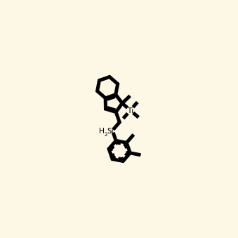 Cc1cccc([SiH2]CC2=CC3=C(CCCC3)[C]2(C)[Ti]([CH3])([CH3])[CH3])c1C